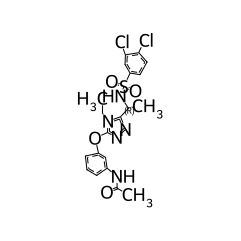 CCn1c(Oc2cccc(NC(C)=O)c2)nnc1[C@@H](C)NS(=O)(=O)c1ccc(Cl)c(Cl)c1